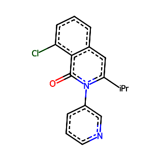 CC(C)c1cc2cccc(Cl)c2c(=O)n1-c1cccnc1